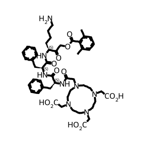 Cc1cccc(C)c1C(=O)OCC(=O)[C@H](CCCCN)NC(=O)[C@H](Cc1ccccc1)NC(=O)[C@H](Cc1ccccc1)NC(=O)CN1CCN(CC(=O)O)CCN(CC(=O)O)CCN(CC(=O)O)CC1